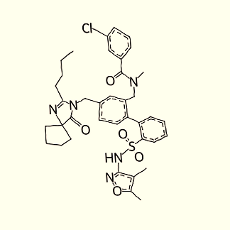 CCCCC1=NC2(CCCC2)C(=O)N1Cc1ccc(-c2ccccc2S(=O)(=O)Nc2noc(C)c2C)c(CN(C)C(=O)c2cccc(Cl)c2)c1